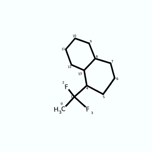 CC(F)(F)C1CCCC2CCCCC21